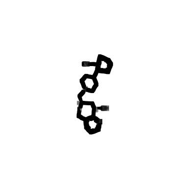 [C-]#[N+]c1ccccc1C1CCN(C[C@@H]2CCc3cccnc3[C@@H](O)C2)CC1